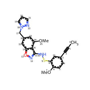 CC#Cc1ccc(OC)c(SNc2noc3cc(Cn4cccn4)cc(OC)c23)c1